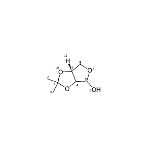 CC1(C)OC2C(O)OC[C@H]2O1